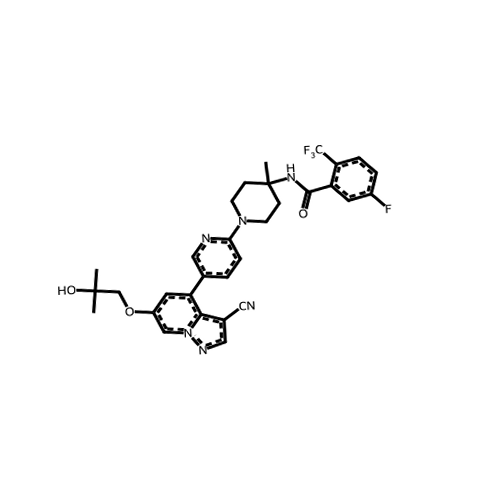 CC(C)(O)COc1cc(-c2ccc(N3CCC(C)(NC(=O)c4cc(F)ccc4C(F)(F)F)CC3)nc2)c2c(C#N)cnn2c1